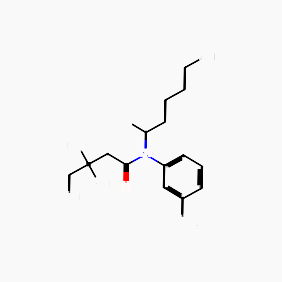 CCCCCC(C)N(C(=O)CC(C)(C)CC)c1cccc(C)c1